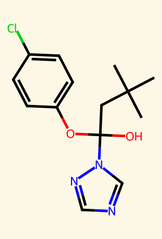 CC(C)(C)CC(O)(Oc1ccc(Cl)cc1)n1cncn1